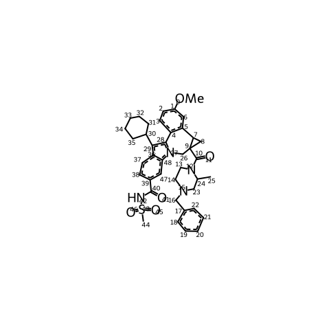 COc1ccc2c(c1)C1CC1(C(=O)N1CCN(Cc3ccccc3)CC1C)Cn1c-2c(C2CCCCC2)c2ccc(C(=O)NS(C)(=O)=O)cc21